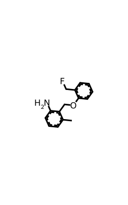 Cc1cccc(N)c1COc1ccccc1CF